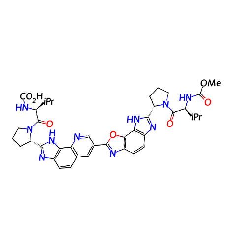 COC(=O)N[C@H](C(=O)N1CCC[C@H]1c1nc2ccc3nc(-c4cnc5c(ccc6nc([C@@H]7CCCN7C(=O)[C@@H](NC(=O)O)C(C)C)[nH]c65)c4)oc3c2[nH]1)C(C)C